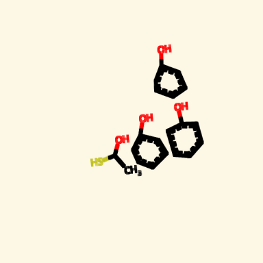 CC(O)S.Oc1ccccc1.Oc1ccccc1.Oc1ccccc1